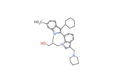 O=C(O)c1ccc2c(C3CCCCC3)c3n(c2c1)CC(CO)Cn1cc(CN2CCCCC2)c2cccc-3c21